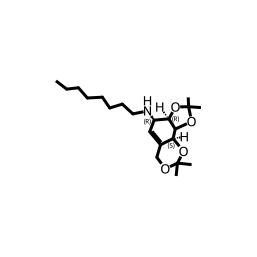 CCCCCCCCN[C@@H]1C=C2COC(C)(C)O[C@@H]2C2OC(C)(C)O[C@@H]21